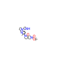 Cc1nc([N+]2([C@@H]3CCNC3)CCC[C@@H]2C)ccc1N1CCCC2(CCN(C(=O)OC(C)(C)C)CC2)C1=O